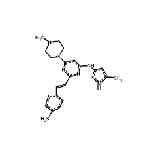 Bc1ccc(/C=C/c2nc(Nc3cc(C)[nH]n3)cc(N3CCN(C)CC3)n2)cc1